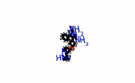 Nc1nc(N)c(-c2ccc(Oc3ccnc(C4=NCCN4)c3)cc2)c(-c2ccccc2)n1